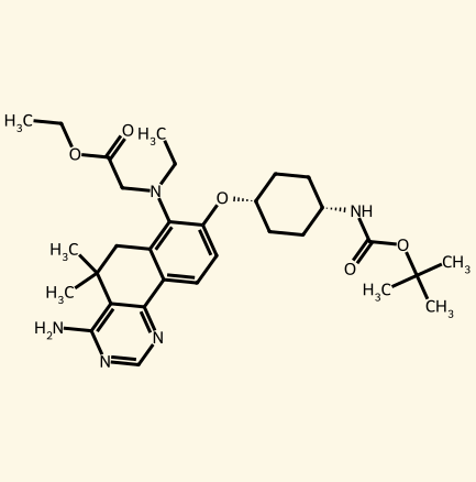 CCOC(=O)CN(CC)c1c(O[C@H]2CC[C@@H](NC(=O)OC(C)(C)C)CC2)ccc2c1CC(C)(C)c1c(N)ncnc1-2